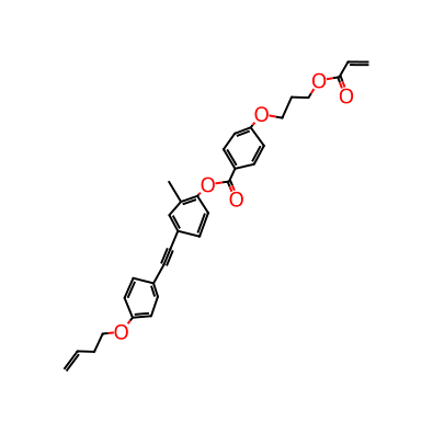 C=CCCOc1ccc(C#Cc2ccc(OC(=O)c3ccc(OCCCOC(=O)C=C)cc3)c(C)c2)cc1